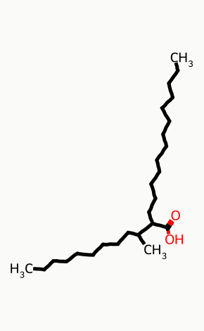 CCCCCCCCCCCCCC(C(=O)O)C(C)CCCCCCCCC